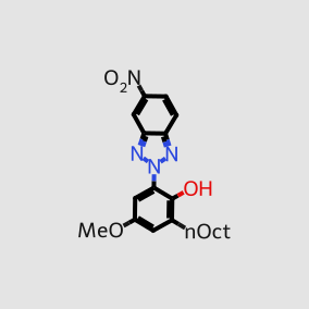 CCCCCCCCc1cc(OC)cc(-n2nc3ccc([N+](=O)[O-])cc3n2)c1O